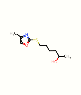 Cc1coc(SCCCCC(C)O)n1